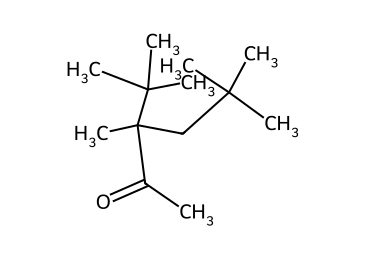 CC(=O)C(C)(CC(C)(C)C)C(C)(C)C